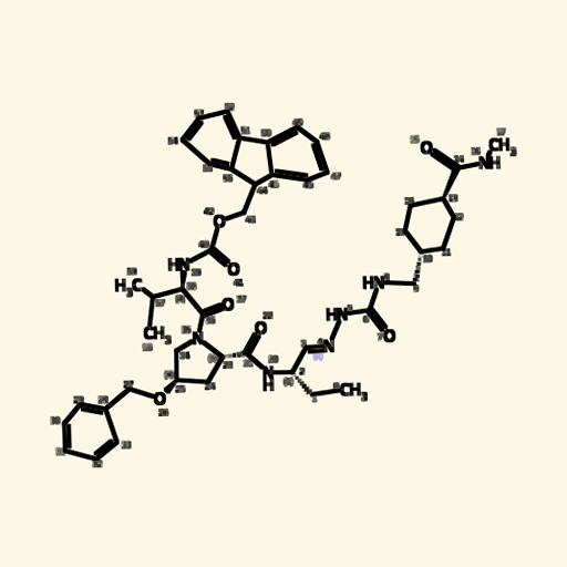 CC[C@@H](/C=N/NC(=O)NC[C@H]1CC[C@H](C(=O)NC)CC1)NC(=O)[C@@H]1C[C@@H](OCc2ccccc2)CN1C(=O)[C@H](NC(=O)OCC1c2ccccc2-c2ccccc21)C(C)C